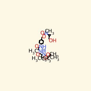 CC(C)[C@H](NC(=O)OC(C)(C)C)C(=O)N[C@@H](C)C(=O)Nc1ccc(COC(=O)N(C)[C@@H]2CC2CO)cc1